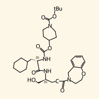 CC(C)(C)OC(=O)N1CCC(OC(=O)N[C@@H](CC2CCCCC2)C(=O)N[C@H](CO)CCC(=O)N2CCOc3ccccc3C2)CC1